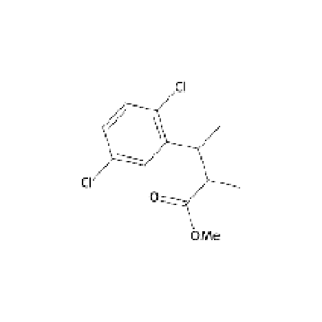 COC(=O)C(C)C(C)c1cc(Cl)ccc1Cl